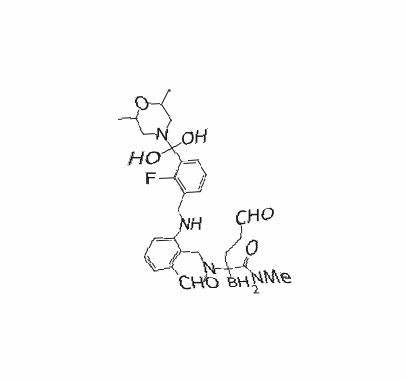 BC(CCC=O)(C(=O)NC)N(C)Cc1c(C=O)cccc1NCc1cccc(C(O)(O)N2CC(C)OC(C)C2)c1F